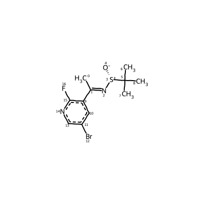 C/C(=N\[S@+]([O-])C(C)(C)C)c1cc(Br)cnc1F